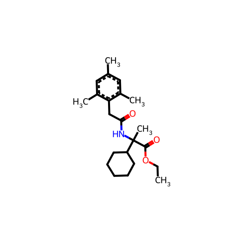 CCOC(=O)C(C)(NC(=O)Cc1c(C)cc(C)cc1C)C1CCCCC1